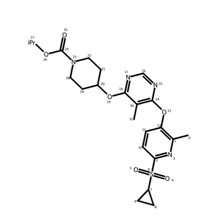 Cc1nc(S(=O)(=O)C2CC2)ccc1Oc1ncnc(OC2CCN(C(=O)OC(C)C)CC2)c1C